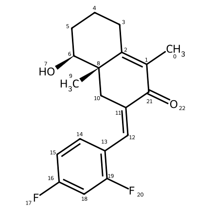 CC1=C2CCC[C@H](O)[C@@]2(C)C/C(=C\c2ccc(F)cc2F)C1=O